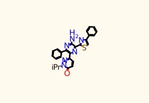 CC(C)n1nc(-c2nc(-c3nc(-c4ccccc4)cs3)c(N)nc2-c2ccccc2)ccc1=O